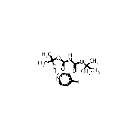 CC(C)(C)OC(=O)NC(=O)OC(C)(C)C.Ic1ccncc1